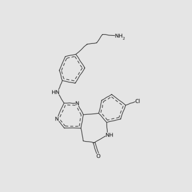 NCCCc1ccc(Nc2ncc3c(n2)-c2ccc(Cl)cc2NC(=O)C3)cc1